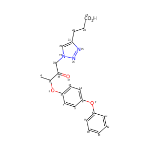 CC(Oc1ccc(Oc2ccccc2)cc1)C(=O)Cn1cc(CCC(=O)O)nn1